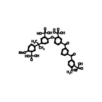 COc1ccc(C(C)(C)c2ccc(Oc3ccc(C(=O)c4cccc(C(=O)c5ccc(C)c(P(=O)(O)O)c5)c4)cc3P(=O)(O)O)c(P(=O)(O)O)c2)cc1P(=O)(O)O